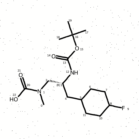 CN(C[C@@H](CC1CCC(F)CC1)NC(=O)OC(C)(C)C)C(=O)O